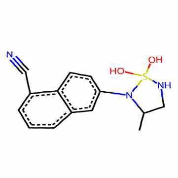 CC1CNS(O)(O)N1c1ccc2c(C#N)cccc2c1